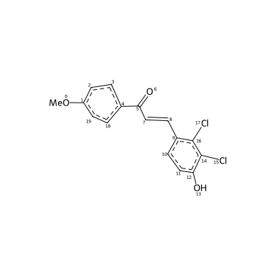 COc1ccc(C(=O)/C=C/c2ccc(O)c(Cl)c2Cl)cc1